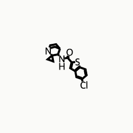 O=C(NC1C2CCN(CC2)C12CC2)c1cc2cc(Cl)ccc2s1